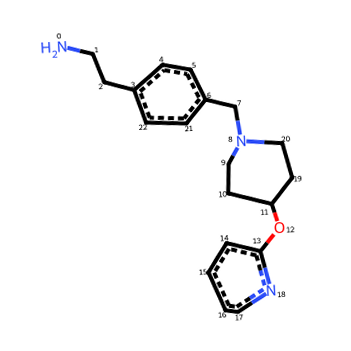 NCCc1ccc(CN2CCC(Oc3ccccn3)CC2)cc1